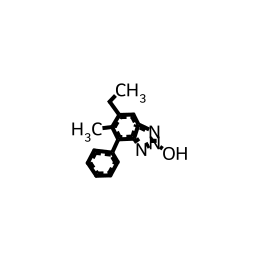 CCc1cc2nn(O)nc2c(-c2ccccc2)c1C